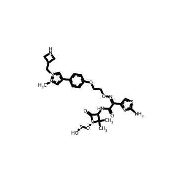 C[n+]1cc(-c2ccc(OCCO/N=C(\C(=O)NC3C(=O)N(OSO)C3(C)C)c3csc(N)n3)cc2)cn1CC1CNC1